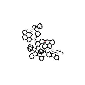 CC1(C)c2ccccc2-c2ccc(N(c3cc4c(c5ccccc35)-c3ccccc3C4(c3ccccc3)C3(c4ccccc4)c4ccccc4-c4c3cc(N(c3ccc5c(c3)C(C)(C)c3ccccc3-5)c3ccc5ccc6cccc7ccc3c5c67)c3ccccc43)c3ccc4ccc5cccc6ccc3c4c56)cc21